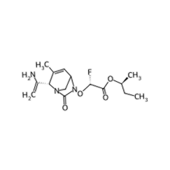 C=C(N)[C@@H]1C(C)=CC2CN1C(=O)N2O[C@H](F)C(=O)O[C@@H](C)CC